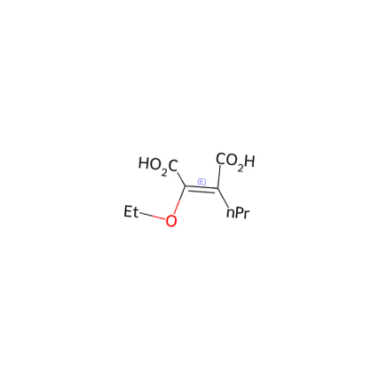 CCC/C(C(=O)O)=C(\OCC)C(=O)O